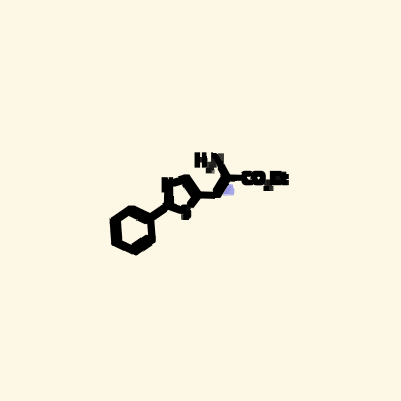 CCOC(=O)/C(N)=C/c1cnc(-c2ccccc2)s1